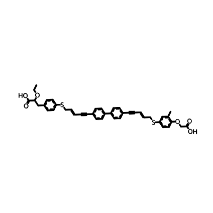 CCOC(Cc1ccc(SCC=CC#Cc2ccc(-c3ccc(C#CC=CCSc4ccc(OCC(=O)O)c(C)c4)cc3)cc2)cc1)C(=O)O